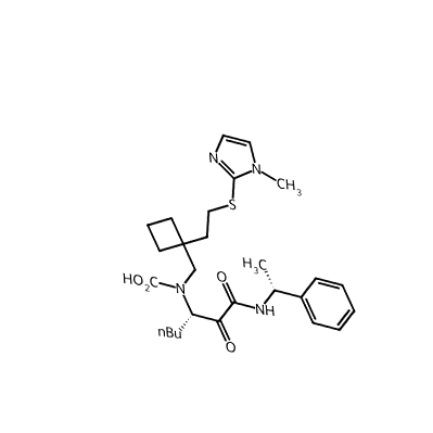 CCCC[C@@H](C(=O)C(=O)N[C@H](C)c1ccccc1)N(CC1(CCSc2nccn2C)CCC1)C(=O)O